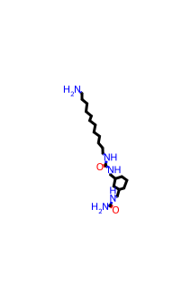 NCCCCCCCCCCCCNC(=O)NCC1CCCC(CNC(N)=O)C1